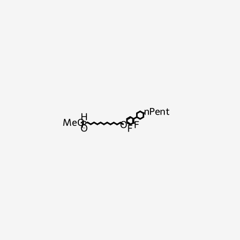 CCCCCC1CCC(c2ccc(OCCCCCCCCCCC[PH](=O)OC)c(F)c2F)CC1